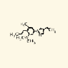 C=CCc1c(C)cc(-n2cc(C=C)cn2)cc1N(C)C